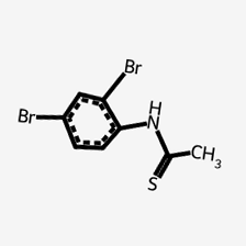 CC(=S)Nc1ccc(Br)cc1Br